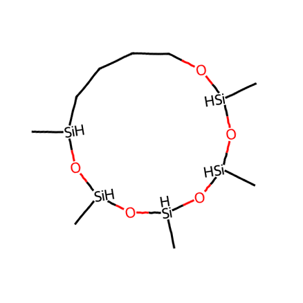 C[SiH]1CCCCO[SiH](C)O[SiH](C)O[SiH](C)O[SiH](C)O1